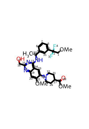 COCC(F)(F)c1cccc([C@@H](C)Nc2nc(CO)nc3cc(OC)c(N4CCC(C(=O)OC)CC4)cc23)c1